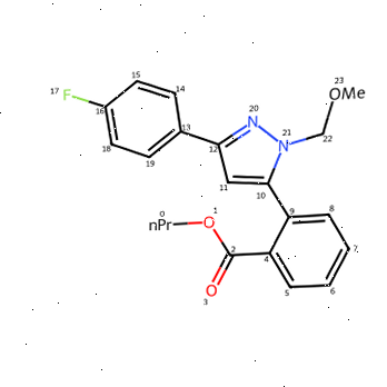 CCCOC(=O)c1ccccc1-c1cc(-c2ccc(F)cc2)nn1COC